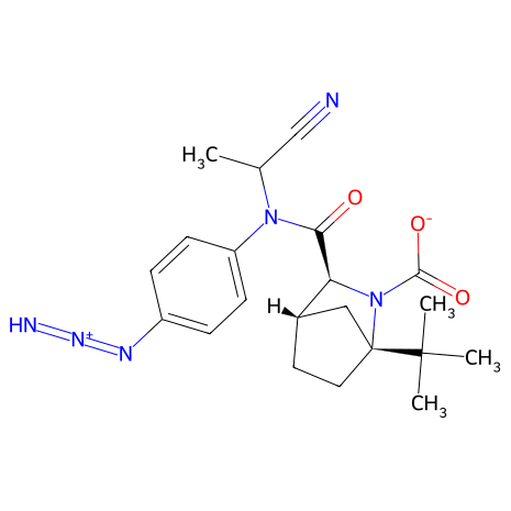 CC(C#N)N(C(=O)[C@@H]1[C@H]2CC[C@](C(C)(C)C)(C2)N1C(=O)[O-])c1ccc(N=[N+]=N)cc1